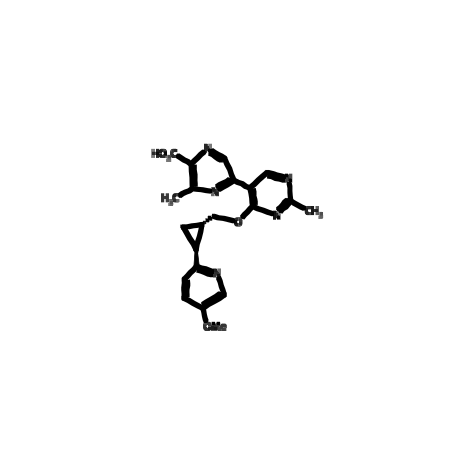 COc1ccc([C@H]2C[C@@H]2COc2nc(C)ncc2-c2cnc(C(=O)O)c(C)n2)nc1